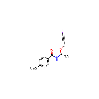 COc1ccc(C(=O)NC(C#N)OCC#CI)cc1